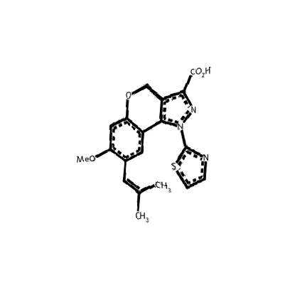 COc1cc2c(cc1C=C(C)C)-c1c(c(C(=O)O)nn1-c1nccs1)CO2